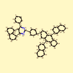 c1ccc(-c2nc(-c3ccc(-c4ccc5c(-c6ccc7ccccc7c6)c6ccccc6c(-c6ccc7ccccc7c6)c5c4)cc3)nc3c2-c2cccc4cccc-3c24)cc1